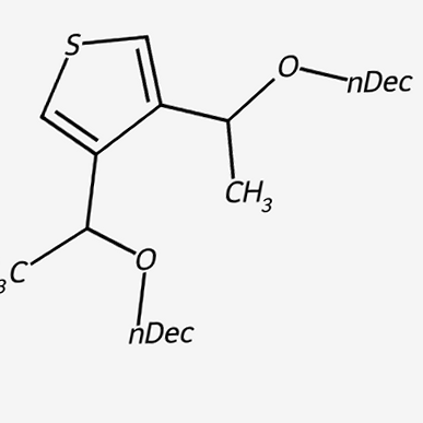 CCCCCCCCCCOC(C)c1cscc1C(C)OCCCCCCCCCC